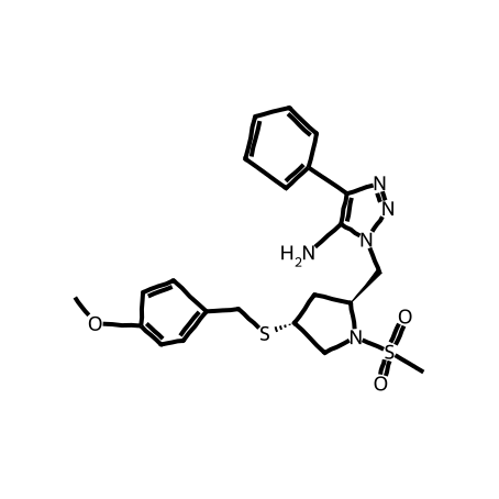 COc1ccc(CS[C@@H]2C[C@@H](Cn3nnc(-c4ccccc4)c3N)N(S(C)(=O)=O)C2)cc1